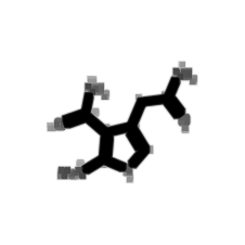 CNc1scc(CC(N)=O)c1C(N)=O